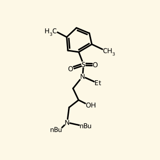 CCCCN(CCCC)CC(O)CN(CC)S(=O)(=O)c1cc(C)ccc1C